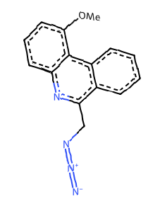 COc1cccc2nc(CN=[N+]=[N-])c3ccccc3c12